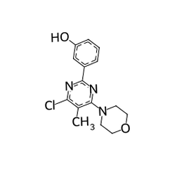 Cc1c(Cl)nc(-c2cccc(O)c2)nc1N1CCOCC1